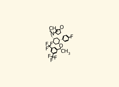 CCN(C[C@H]1CC[C@H](O[C@H](C)c2cc(C(F)(F)F)cc(C(F)(F)F)c2)[C@@H](c2ccc(F)cc2)C1)C1=CC(=O)CC1